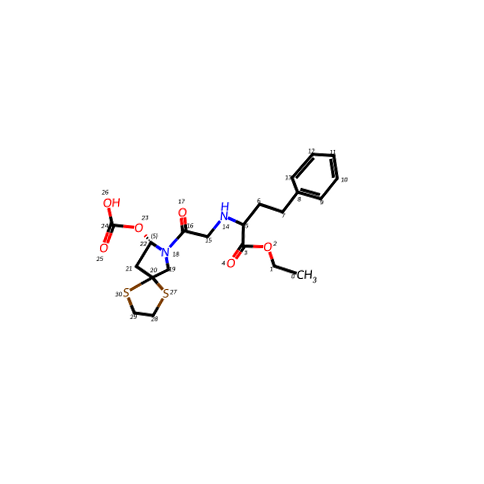 CCOC(=O)C(CCc1ccccc1)NCC(=O)N1CC2(C[C@@H]1OC(=O)O)SCCS2